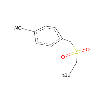 CC(C)(C)CS(=O)(=O)Cc1ccc(C#N)cc1